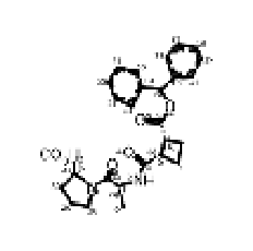 C[C@H](NC(=O)[C@@H]1CC[C@H]1C(=O)OC(c1ccccc1)c1ccccc1)C(=O)N1CCC[C@H]1C(=O)O